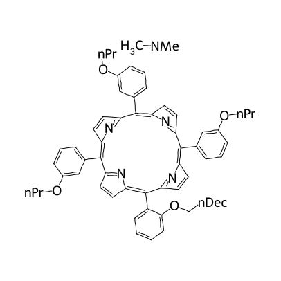 CCCCCCCCCCCOc1ccccc1C1=C2C=CC(=N2)C(c2cccc(OCCC)c2)=C2C=CC(=N2)C(c2cccc(OCCC)c2)=C2C=CC(=N2)C(c2cccc(OCCC)c2)=C2C=CC1=N2.CNC